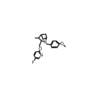 COc1ccc(CN2C3CC(C3)C(C)C2COc2ccc(F)cn2)cc1